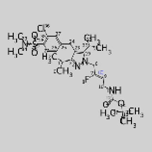 CC(C)c1nn(C/C(F)=C/CNC(=O)OC(C)(C)C)c(C(C)C)c1Cc1ccc(S(=O)(=O)N(C)C)c(Cl)c1